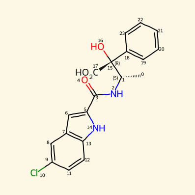 C[C@H](NC(=O)c1cc2cc(Cl)ccc2[nH]1)[C@@](O)(C(=O)O)c1ccccc1